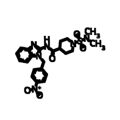 CN(C)S(=O)(=O)N1CCC(C(=O)Nc2nc3ccccc3n2Cc2ccc([N+](=O)[O-])cc2)CC1